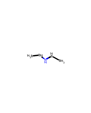 BBNBB